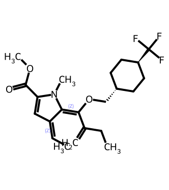 C=C(CC)/C(OC[C@H]1CC[C@H](C(F)(F)F)CC1)=c1\c(=C/C)cc(C(=O)OC)n1C